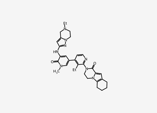 CCc1c(-c2cc(Nc3cc4n(n3)CCN(CC)C4)c(=O)n(C)c2)ccnc1N1CCn2c(cc3c2CCCC3)C1=O